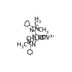 Cc1c(-c2ccccc2)nc(-c2cccc(-c3nc(-c4ccccc4)c(C)n3C)n2)n1C.[Cl-].[Cl-].[Cl-].[V+3]